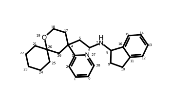 c1ccc(C2(CCNC3CCc4ccccc43)CCOC3(CCCCC3)C2)nc1